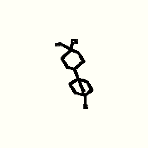 CCCC1(C#N)CCC(C23CCC(CC)(CC2)CC3)CC1